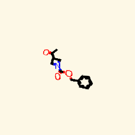 CC(=O)C1CN(C(=O)OCc2ccccc2)C1